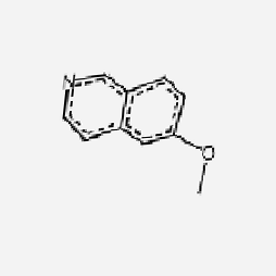 COc1ccc2[c]nccc2c1